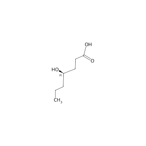 CCC[C@@H](O)CCC(=O)O